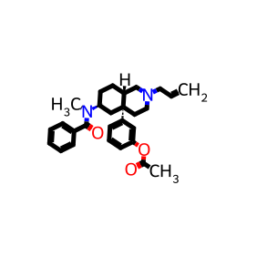 C=CCN1CC[C@@]2(c3cccc(OC(C)=O)c3)C[C@@H](N(C)C(=O)c3ccccc3)CC[C@@H]2C1